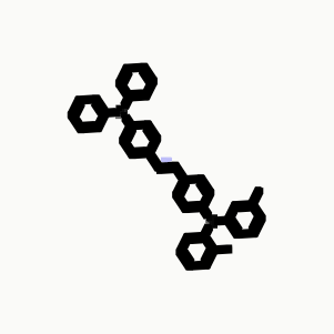 Cc1cccc(N(c2ccc(/C=C/c3ccc(N(c4ccccc4)c4ccccc4)cc3)cc2)c2ccccc2C)c1